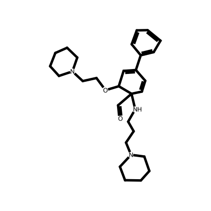 O=CC1(NCCCN2CCCCC2)C=CC(c2ccccc2)=CC1OCCN1CCCCC1